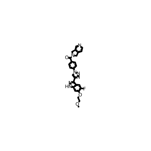 COCCOc1cc2[nH]nc(-c3cn(-c4ccc(C(=O)N5Cc6ccncc6C5)cc4)nn3)c2cc1F